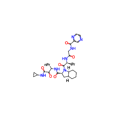 CCCC(NC(=O)[C@@H]1C[C@@H]2CCCC[C@@H]2N1C(=O)[C@@H](NC(=O)CNC(=O)c1cnccn1)C(C)C)C(=O)C(=O)NC1CC1